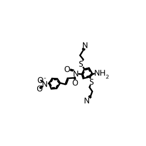 N#CCCSc1cc(N(C=O)C(=O)/C=C/c2ccc([N+](=O)[O-])cc2)c(SCCC#N)cc1N